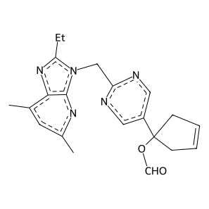 CCc1nc2c(C)cc(C)nc2n1Cc1ncc(C2(OC=O)CC=CC2)cn1